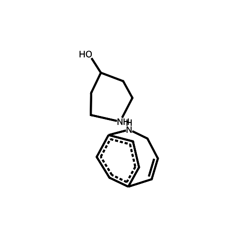 C1=Cc2ccc(cc2)NC1.OC1CCNCC1